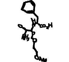 COCCOCOC(N[C@@H](Cc1ccccc1)C(=O)O)C(N)=O